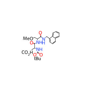 COCC(NC(=O)C(CC(=O)O)NC(=O)OC(C)(C)C)C(=O)NCc1cccc2ccccc12